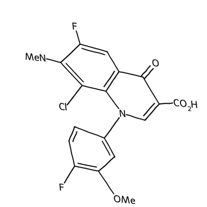 CNc1c(F)cc2c(=O)c(C(=O)O)cn(-c3ccc(F)c(OC)c3)c2c1Cl